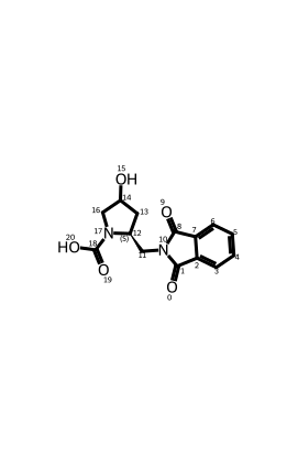 O=C1c2ccccc2C(=O)N1C[C@@H]1CC(O)CN1C(=O)O